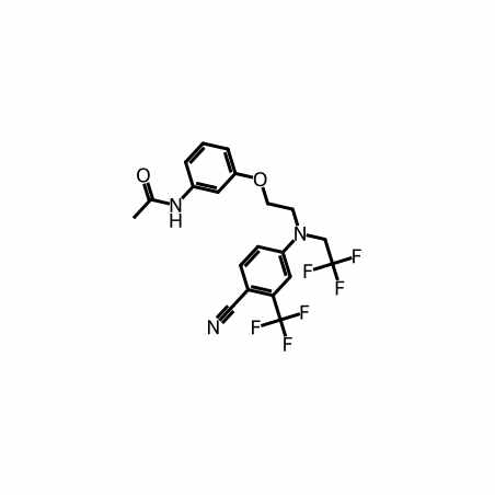 CC(=O)Nc1cccc(OCCN(CC(F)(F)F)c2ccc(C#N)c(C(F)(F)F)c2)c1